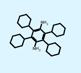 Nc1c(C2CCCCC2)c(C2CCCCC2)c(N)c(C2CCCCC2)c1C1CCCCC1